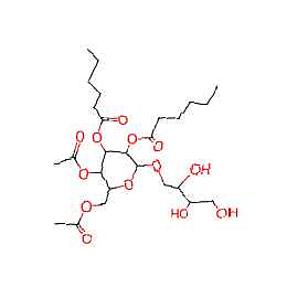 CCCCCC(=O)OC1C(OCC(O)C(O)CO)OC(COC(C)=O)C(OC(C)=O)C1OC(=O)CCCCC